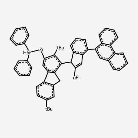 CCCC1=Cc2c(-c3cc4ccccc4c4ccccc34)cccc2C1c1c2c(c[c]([Zr][SiH](c3ccccc3)c3ccccc3)c1C(C)(C)C)-c1ccc(C(C)(C)C)cc1C2